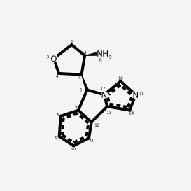 N[C@@H]1COC[C@@H]1C1c2ccccc2-c2cncn21